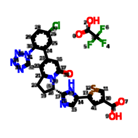 O=C(O)C(F)(F)F.O=C(O)c1csc(-c2cnc([C@@H]3CCc4cc(-c5cc(Cl)ccc5-n5cnnn5)cc(=O)n43)[nH]2)c1